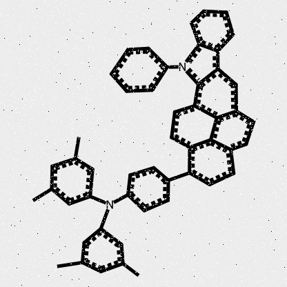 Cc1cc(C)cc(N(c2ccc(-c3ccc4ccc5cc6c7ccccc7n(-c7ccccc7)c6c6ccc3c4c56)cc2)c2cc(C)cc(C)c2)c1